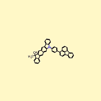 CC1(C)c2ccccc2-c2cc3cc4c(cc3cc21)c1ccccc1n4-c1ccc(-c2ccc3c4c(cccc24)-c2ccccc2-3)cc1